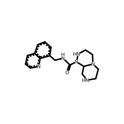 O=C(NCc1cccc2cccnc12)N1NCCN2CCNCC21